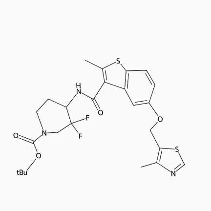 Cc1ncsc1COc1ccc2sc(C)c(C(=O)NC3CCN(C(=O)OC(C)(C)C)CC3(F)F)c2c1